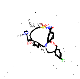 C[C@@H]1[C@@H](C)CCC[C@@](O)(Cc2nccn2C)[C@@H]2CC[C@H]2CN2CCCCc3cc(Cl)ccc3COc3ccc(cc32)C(=O)NS1(=O)=O